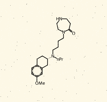 CCCN(CCCCN1CCNCCC1=O)[C@H]1CCc2ccc(OC)cc2C1